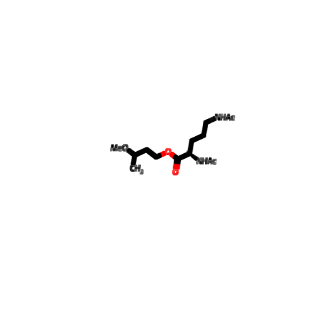 COC(C)CCOC(=O)[C@@H](CCCNC(C)=O)NC(C)=O